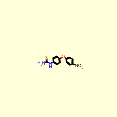 NC(=S)Nc1ccc(Oc2ccc([N+](=O)[O-])cc2)cc1